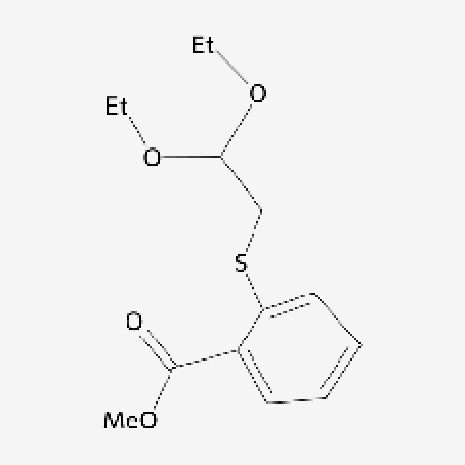 CCOC(CSc1ccccc1C(=O)OC)OCC